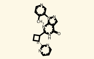 Cc1ccncc1-n1ncc2c(=O)[nH]c(C3CC[C@H]3c3ncccn3)nc21